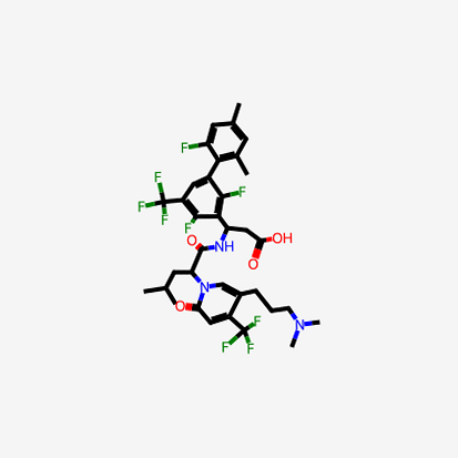 Cc1cc(C)c(-c2cc(C(F)(F)F)c(F)c(C(CC(=O)O)NC(=O)C(CC(C)C)n3cc(CCCN(C)C)c(C(F)(F)F)cc3=O)c2F)c(F)c1